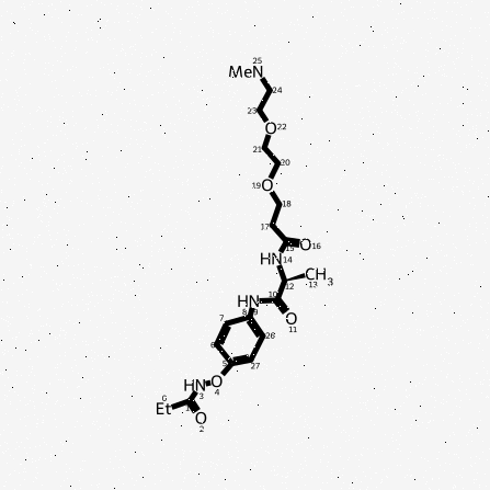 CCC(=O)NOc1ccc(NC(=O)[C@H](C)NC(=O)CCOCCOCCNC)cc1